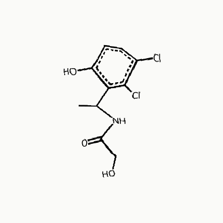 CC(NC(=O)CO)c1c(O)ccc(Cl)c1Cl